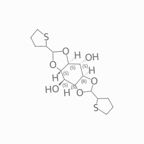 O[C@@H]1[C@H]2OC(C3CCCS3)O[C@H]2[C@@H](O)[C@@H]2OC(C3CCCS3)O[C@@H]12